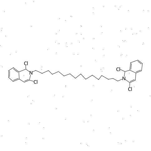 ClC1=Cc2ccccc2C(Cl)N1CCCCCCCCCCCCCCCCN1C(Cl)=Cc2ccccc2C1Cl